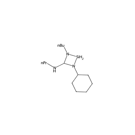 CCCCN1[SiH2]N(C2CCCCC2)C1NCCC